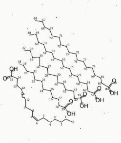 CCCCCC/C=C\CCCCCCCC(=O)O.CCCCCCCCCCCC(=O)O.CCCCCCCCCCCCCC(=O)O.CCCCCCCCCCCCCCCC(=O)O.CCCCCCCCCCCCCCCCCC(=O)O